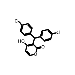 O=c1occc(O)c1C(c1ccc(Cl)cc1)c1ccc(Cl)cc1